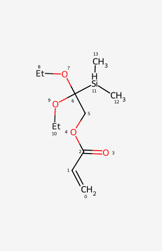 C=CC(=O)OCC(OCC)(OCC)[SiH](C)C